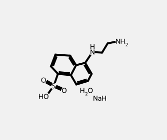 NCCNc1cccc2c(S(=O)(=O)O)cccc12.O.[NaH]